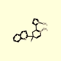 Cn1cccc1C1=[N+](C)C=CC(I)(c2ccc3ccccc3n2)C1